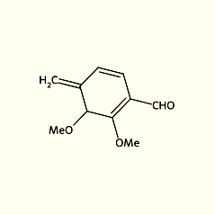 C=C1C=CC(C=O)=C(OC)C1OC